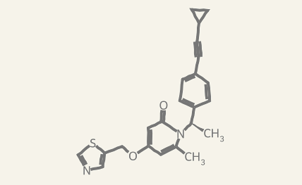 Cc1cc(OCc2cncs2)cc(=O)n1[C@H](C)c1ccc(C#CC2CC2)cc1